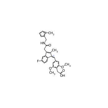 COc1cc(/C=C2/C(C)=C(CC(=O)NCc3cccn3C)c3cc(F)ccc32)cc(OC)c1CC(=O)O